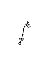 CC1=C(O)/C(=C/[C@@H](C)CCC/C(C)=C/CC/C(C)=C/CCC2=CCN(CCc3ccccc3)C2=O)OC1=O